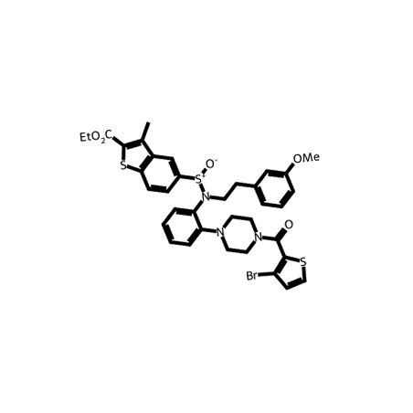 CCOC(=O)c1sc2ccc([S+]([O-])N(CCc3cccc(OC)c3)c3ccccc3N3CCN(C(=O)c4sccc4Br)CC3)cc2c1C